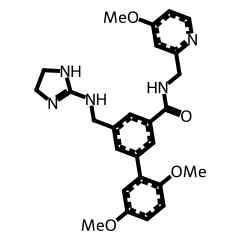 COc1ccnc(CNC(=O)c2cc(CNC3=NCCN3)cc(-c3cc(OC)ccc3OC)c2)c1